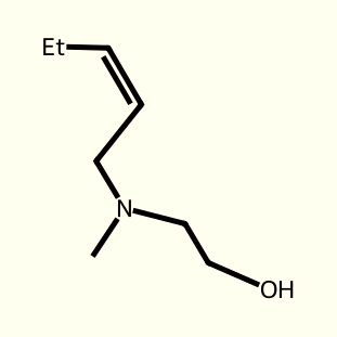 CC/C=C\CN(C)CCO